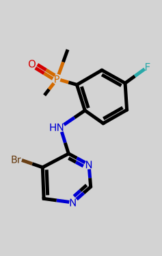 CP(C)(=O)c1cc(F)ccc1Nc1ncncc1Br